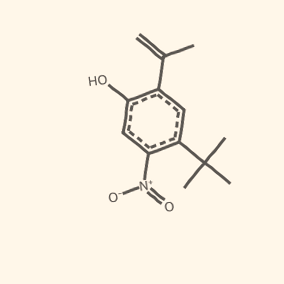 C=C(C)c1cc(C(C)(C)C)c([N+](=O)[O-])cc1O